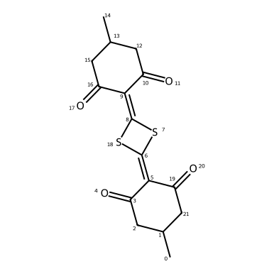 CC1CC(=O)C(=c2sc(=C3C(=O)CC(C)CC3=O)s2)C(=O)C1